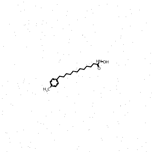 Cc1ccc(CCCCCCCCCCCC(=O)NO)cc1